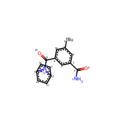 CC(C)(C)c1cc(C(N)=O)cc(C(=O)n2c3ccc2cc3)c1